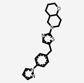 c1cnn(-c2ccc(Cc3cnc(N4CCC5OCCCC5C4)s3)cc2)c1